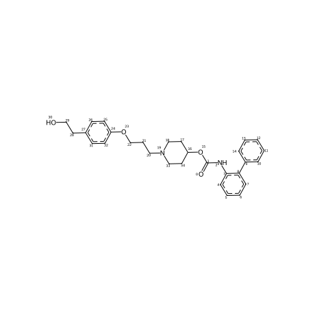 O=C(Nc1ccccc1-c1ccccc1)OC1CCN(CCCOc2ccc(CCO)cc2)CC1